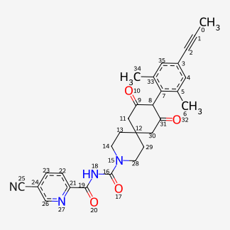 CC#Cc1cc(C)c(C2C(=O)CC3(CCN(C(=O)NC(=O)c4ccc(C#N)cn4)CC3)CC2=O)c(C)c1